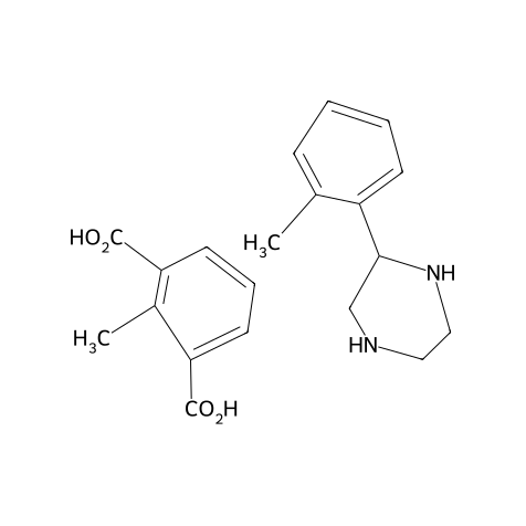 Cc1c(C(=O)O)cccc1C(=O)O.Cc1ccccc1C1CNCCN1